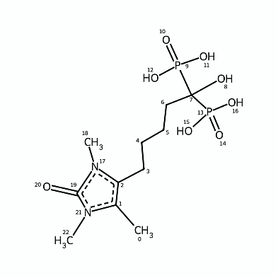 Cc1c(CCCCC(O)(P(=O)(O)O)P(=O)(O)O)n(C)c(=O)n1C